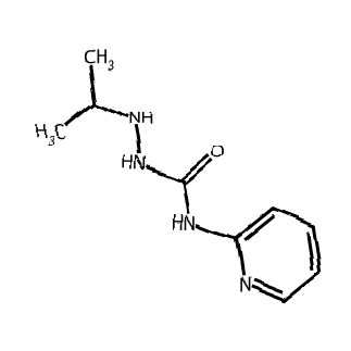 CC(C)NNC(=O)Nc1ccccn1